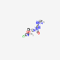 Cc1nnc(-c2cc3nc(CN4CCC(c5cccc6c5OC(C)(c5ccc(Cl)cn5)O6)CC4)n(C[C@@H]4CCO4)c3nn2)[nH]1